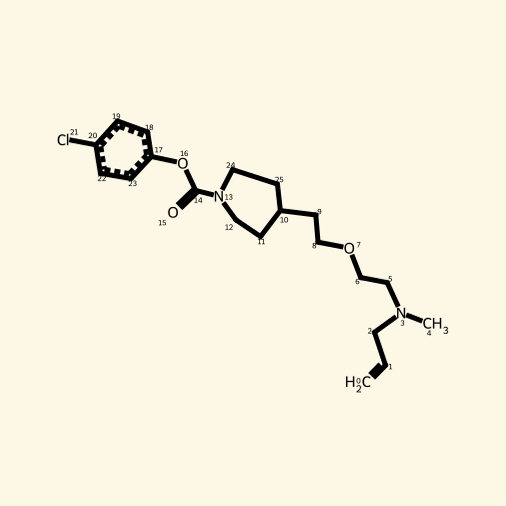 C=CCN(C)CCOCCC1CCN(C(=O)Oc2ccc(Cl)cc2)CC1